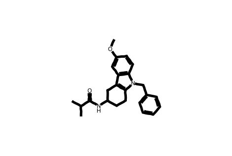 COc1ccc2c(c1)c1c(n2Cc2ccccc2)CCC(NC(=O)C(C)C)C1